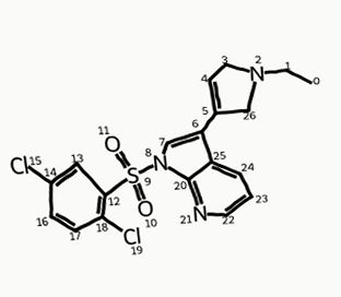 CCN1CC=C(c2cn(S(=O)(=O)c3cc(Cl)ccc3Cl)c3ncccc23)C1